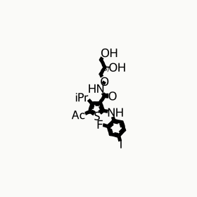 CC(=O)c1sc(Nc2ccc(I)cc2F)c(C(=O)NOC[C@@H](O)CO)c1C(C)C